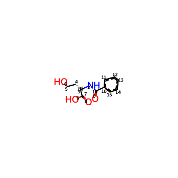 O=C(N[C@@H](CCO)C(=O)O)c1ccccc1